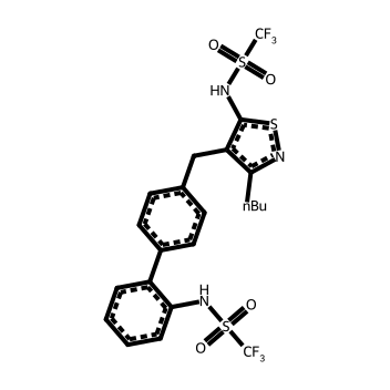 CCCCc1nsc(NS(=O)(=O)C(F)(F)F)c1Cc1ccc(-c2ccccc2NS(=O)(=O)C(F)(F)F)cc1